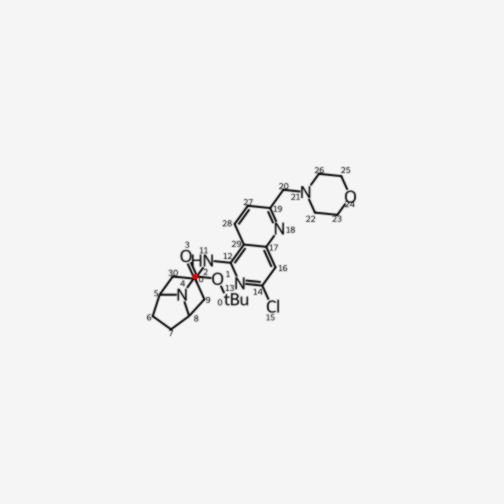 CC(C)(C)OC(=O)N1C2CCC1CC(Nc1nc(Cl)cc3nc(CN4CCOCC4)ccc13)C2